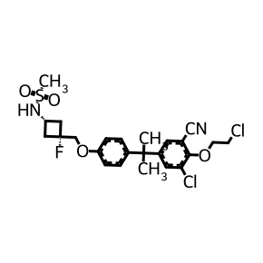 CC(C)(c1ccc(OC[C@]2(F)C[C@@H](NS(C)(=O)=O)C2)cc1)c1cc(Cl)c(OCCCl)c(C#N)c1